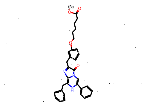 CC(C)(C)OC(=O)CCCCCOc1cccc(Cc2nc3c(Cc4ccccc4)[nH]c(-c4ccccc4)cn-3c2=O)c1